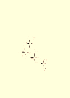 O=P(O)(O)O.O=P(O)(O)O.O=P(O)(O)O.O=P([O-])(O)O.[Na+]